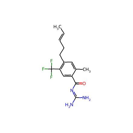 CC=CCCc1cc(C)c(C(=O)N=C(N)N)cc1C(F)(F)F